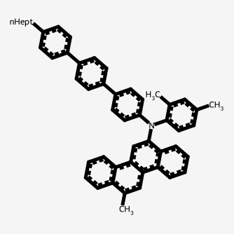 CCCCCCCc1ccc(-c2ccc(-c3ccc(N(c4ccc(C)cc4C)c4cc5c6ccccc6c(C)cc5c5ccccc45)cc3)cc2)cc1